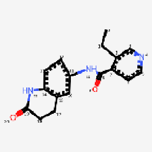 CCc1cnccc1C(=O)Nc1ccc2c(c1)CCC(=O)N2